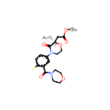 CC(=O)O[C@]1(CC(=O)OC(C)(C)C)OCCN(c2ccc(F)c(C(=O)N3CCOCC3)c2)C1=O